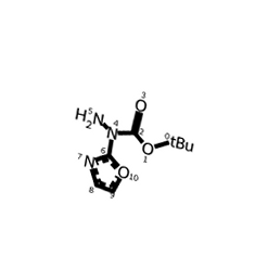 CC(C)(C)OC(=O)N(N)c1ncco1